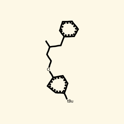 CC(CCOc1ccc(C(C)(C)C)cc1)Cc1ccccc1